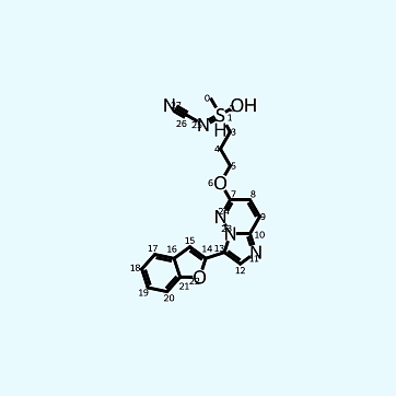 C[SH](O)(CCCOc1ccc2ncc(-c3cc4ccccc4o3)n2n1)=NC#N